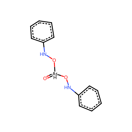 O=[AsH](ONc1ccccc1)ONc1ccccc1